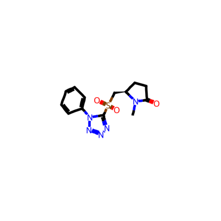 CN1C(=O)CC[C@@H]1CS(=O)(=O)c1nnnn1-c1ccccc1